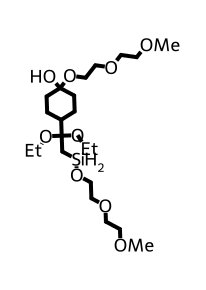 CCOC(C[SiH2]OCCOCCOC)(OCC)C1CCC(O)(OCCOCCOC)CC1